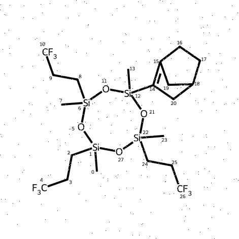 C[Si]1(CCC(F)(F)F)O[Si](C)(CCC(F)(F)F)O[Si](C)(C2=C3CCC(C3)C2)O[Si](C)(CCC(F)(F)F)O1